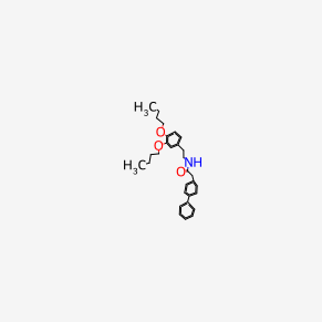 CCCCOc1ccc(CCNC(=O)Cc2ccc(-c3ccccc3)cc2)cc1OCCCC